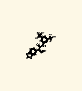 O=CN(C(=O)Nc1cc(C(F)(F)F)cc(C(F)(F)F)c1)c1ccc2c(c1)OCO2